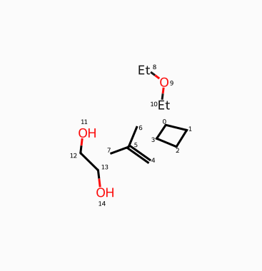 C1CCC1.C=C(C)C.CCOCC.OCCO